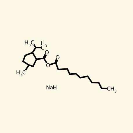 CCCCCCCCCCC(=O)OC(=O)C1CC(C)CCC1C(C)C.[NaH]